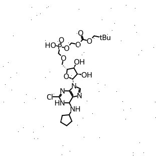 CC(C)(C)COC(=O)OCOP(=O)(O)COC[C@H]1O[C@@H](n2cnc3c2N=C(Cl)NC3NC2CCCC2)[C@H](O)[C@@H]1O